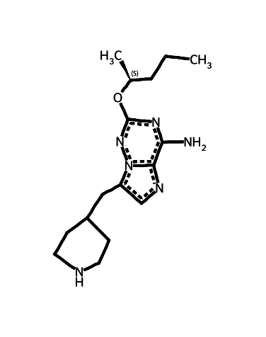 CCC[C@H](C)Oc1nc(N)c2ncc(CC3CCNCC3)n2n1